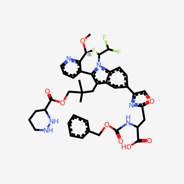 CO[C@@H](C)c1ncccc1-c1c(CC(C)(C)COC(=O)C2CCCNN2)c2cc(-c3coc(CC(NC(=O)OCc4ccccc4)C(=O)O)n3)ccc2n1C(F)C(F)F